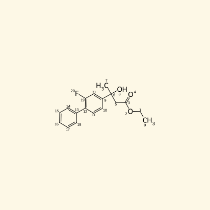 CCOC(=O)CC(C)(O)c1ccc(-c2ccccc2)c(F)c1